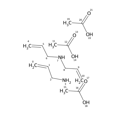 C=CCN.C=CCNCC=C.CC(=O)O.CC(=O)O.CC(=O)O